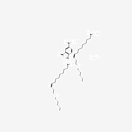 CCCCC[CH-]CC/C=C\CCCCCCCC(=O)O.CCCCC[CH-]CC/C=C\CCCCCCCC(=O)O.O=C(O)c1ccc2c(c1)C(=O)OC2=O.[Cu+2]